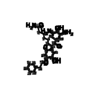 NC(=O)CCCCc1oc2cc(OCCc3ccccc3)c(O)cc2c1C(=O)c1cc(N)c(O)c(N)c1